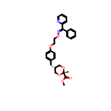 COC(=O)[C@]1(C)OC[C@H](Cc2ccc(OCCO/N=C(\c3ccccc3)c3ccccn3)cc2)CO1